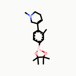 Cc1cc(B2OC(C)(C)C(C)(C)O2)ccc1C1=CCCN(C)C1